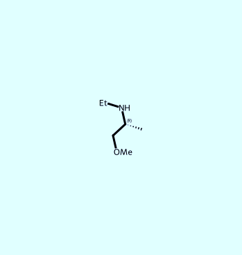 CCN[C@H](C)COC